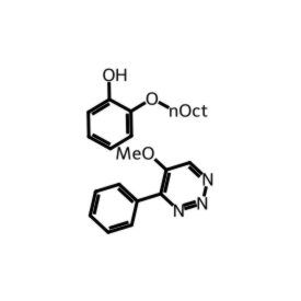 CCCCCCCCOc1ccccc1O.COc1cnnnc1-c1ccccc1